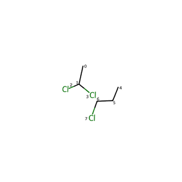 CC(Cl)Cl.CCCCl